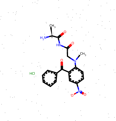 C[C@H](N)C(=O)NC(=O)CN(C)c1ccc([N+](=O)[O-])cc1C(=O)c1ccccc1.Cl